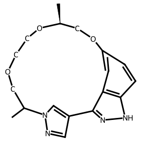 CC1COCCO[C@@H](C)COc2ccc3[nH]nc(c3c2)-c2cnn1c2